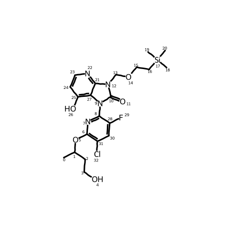 CC(CCO)Oc1nc(-n2c(=O)n(COCC[Si](C)(C)C)c3nccc(O)c32)c(F)cc1Cl